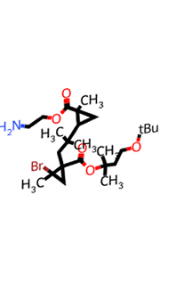 CC(C)(C)OCCC(C)(C)OC(=O)C1(CC(C)(C)C2CC2(C)C(=O)OCCN)CC1(C)Br